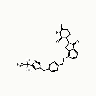 CC(C)(C)c1cn(Cc2ccc(COc3cccc4c3CN(C3CCC(=O)NC3=O)C4=O)cc2)nn1